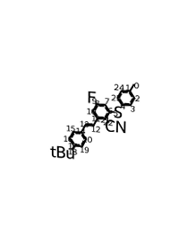 Cc1ccc(Sc2cc(F)cc(C=Cc3ccc(C(C)(C)C)cc3)c2C#N)cc1